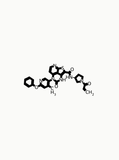 C=CC(=O)N1CC[C@@H](NC(=O)c2sc3nccc4c3c2NC(=O)N4c2cnc(Oc3ccccc3)cc2C)C1